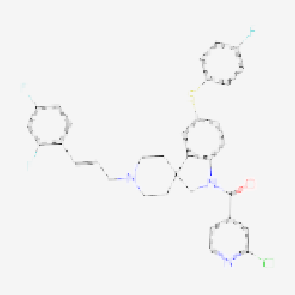 O=C(c1ccnc(Cl)c1)N1CC2(CCN(CC=Cc3ccc(F)cc3F)CC2)c2cc(Sc3ccc(F)cc3)ccc21